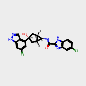 O=C(N[C@H]1[C@@H]2C[C@@](O)(c3cc(Cl)cc4[nH]ncc34)C[C@@H]21)c1nc2cc(Cl)ccc2[nH]1